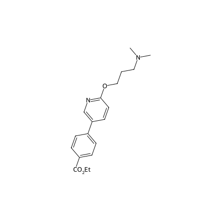 CCOC(=O)c1ccc(-c2ccc(OCCCN(C)C)nc2)cc1